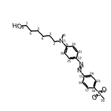 CN(CCCCCCO)c1ccc(/N=N/c2ccc(S(C)(=O)=O)cc2)cc1